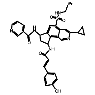 CC(C)CNS(=O)(=O)c1cc2c(c3cnc(C4CC4)cc13)C(NC(=O)C=Cc1ccc(O)cc1)CC2NC(=O)c1cccnc1